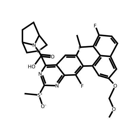 CCc1c(F)ccc2cc(OCOC)cc(-c3c(F)cc4c(N5CC6CCC(C5)N6C(=O)O)nc([S+](C)[O-])nc4c3F)c12